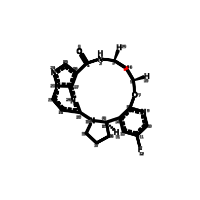 O=C1N[C@H]2C[C@H](C2)Oc2ncc(F)cc2[C@H]2CCCN2c2ccn3ncc1c3n2